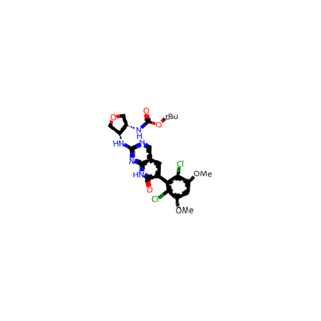 COc1cc(OC)c(Cl)c(-c2cc3cnc(N[C@@H]4COC[C@@H]4NC(=O)OC(C)(C)C)nc3[nH]c2=O)c1Cl